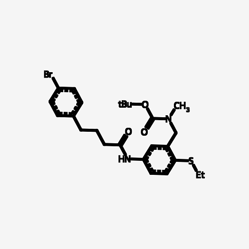 CCSc1ccc(NC(=O)CCCc2ccc(Br)cc2)cc1CN(C)C(=O)OC(C)(C)C